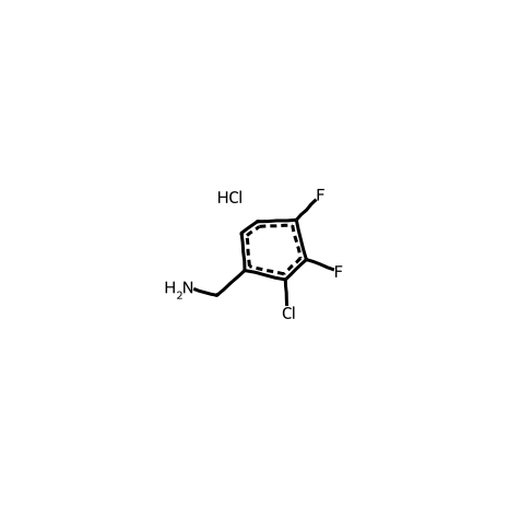 Cl.NCc1ccc(F)c(F)c1Cl